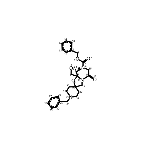 COCC12CN(C(=O)OCc3ccccc3)CC(=O)N1CC1(CCN(Cc3ccccc3)CC1)O2